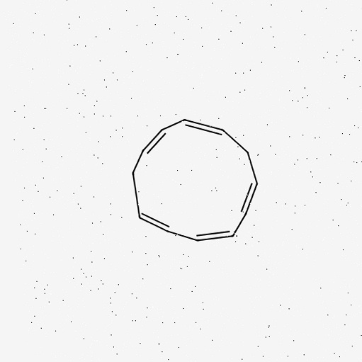 [C]1=CC=CCC=CC=CCC=C1